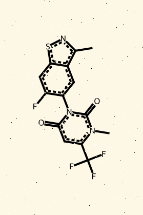 Cc1nsc2cc(F)c(-n3c(=O)cc(C(F)(F)F)n(C)c3=O)cc12